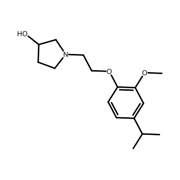 COc1cc(C(C)C)ccc1OCCN1CCC(O)C1